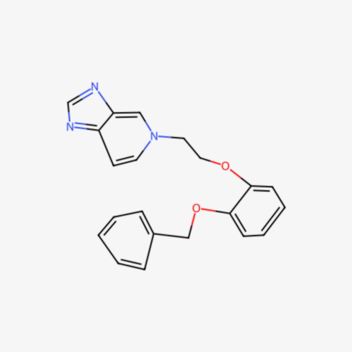 c1ccc(COc2ccccc2OCCn2ccc3ncnc-3c2)cc1